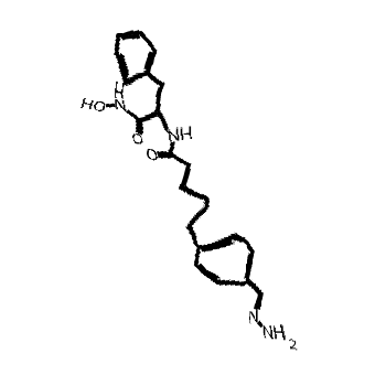 NN=Cc1ccc(CCCCC(=O)NC(Cc2ccccc2)C(=O)NO)cc1